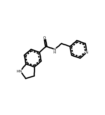 O=C(NCc1ccncc1)c1ccc2c(c1)CCN2